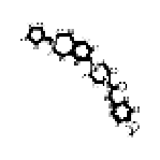 COc1ccc(CC(=O)N2CCN(c3ccc4c(c3)CCN(C3CCCC3)CC4)CC2)cc1